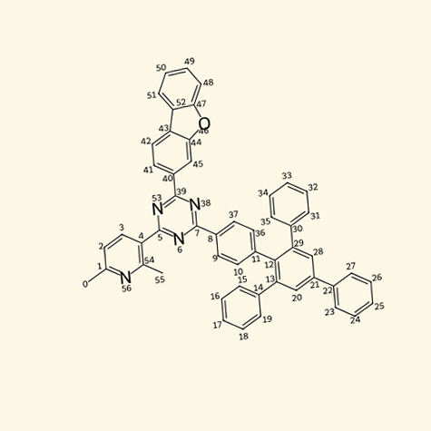 Cc1ccc(-c2nc(-c3ccc(-c4c(-c5ccccc5)cc(-c5ccccc5)cc4-c4ccccc4)cc3)nc(-c3ccc4c(c3)oc3ccccc34)n2)c(C)n1